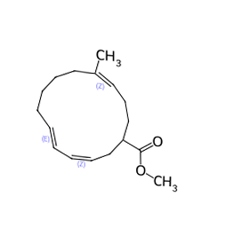 COC(=O)C1C/C=C\C=C\CCCC/C(C)=C\CC1